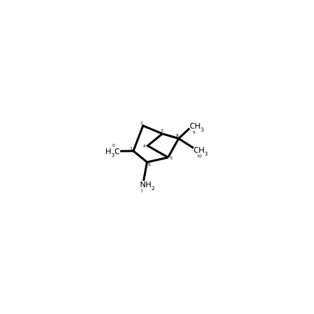 CC1CC2CC(C1N)C2(C)C